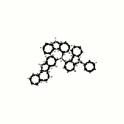 c1ccc(-n2c3ccccc3c3c(N(c4ccc5sc6c7ccccc7ccc6c5c4)c4cccc5sc6ccccc6c45)cccc32)cc1